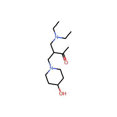 CCN(CC)CC(CN1CCC(O)CC1)C(C)=O